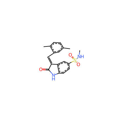 CNS(=O)(=O)c1ccc2c(c1)C(=Cc1cc(C)ccc1C)C(=O)N2